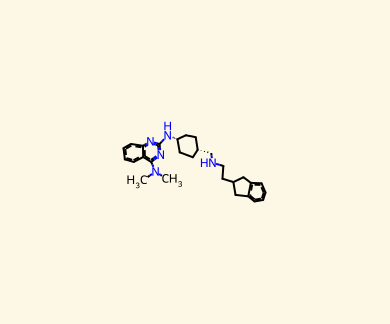 CN(C)c1nc(N[C@H]2CC[C@@H](CNCCC3Cc4ccccc4C3)CC2)nc2ccccc12